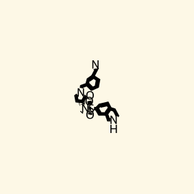 CN([C@H]1CCN(Cc2cccc(C#N)c2)C1=O)S(=O)(=O)c1ccc2c(c1)CNCC2